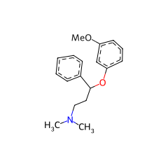 COc1cccc(OC(CCN(C)C)c2ccccc2)c1